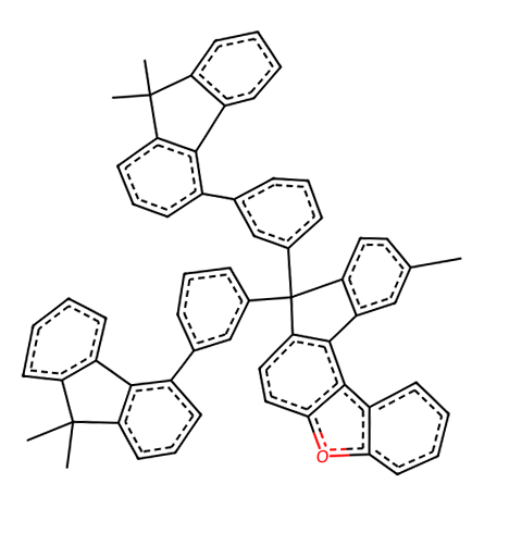 Cc1ccc2c(c1)-c1c(ccc3oc4ccccc4c13)C2(c1cccc(-c2cccc3c2-c2ccccc2C3(C)C)c1)c1cccc(-c2cccc3c2-c2ccccc2C3(C)C)c1